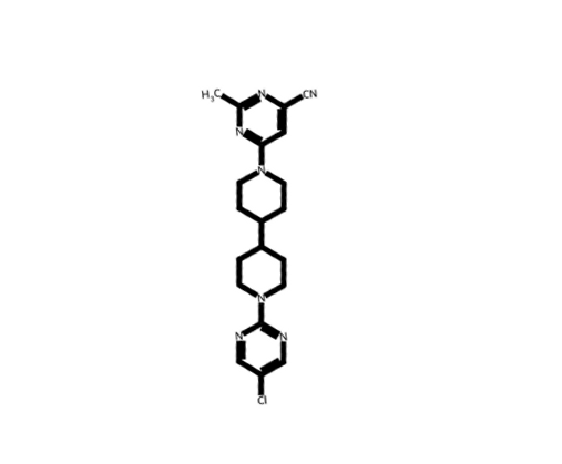 Cc1nc(C#N)cc(N2CCC(C3CCN(c4ncc(Cl)cn4)CC3)CC2)n1